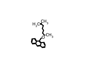 C=C(C)CCCC[C@H](C)OCc1c2ccccc2cc2ccccc12